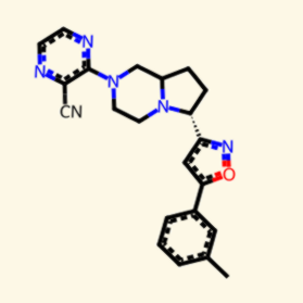 Cc1cccc(-c2cc([C@H]3CCC4CN(c5nccnc5C#N)CCN43)no2)c1